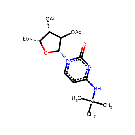 CC[C@H]1O[C@@H](n2ccc(N[Si](C)(C)C)nc2=O)C(OC(C)=O)[C@H]1OC(C)=O